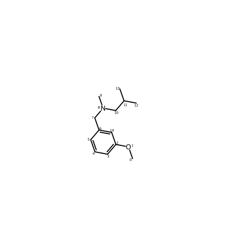 COc1cccc(CN(C)CC(C)C)c1